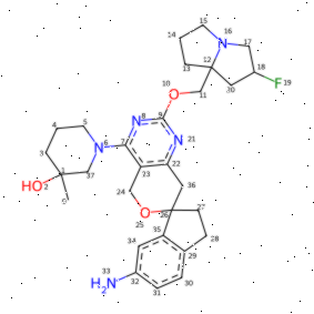 CC1(O)CCCN(c2nc(OCC34CCCN3CC(F)C4)nc3c2COC2(CCc4ccc(N)cc42)C3)C1